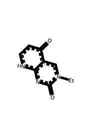 CCn1cc2c(=O)cc[nH]c2nc1=O